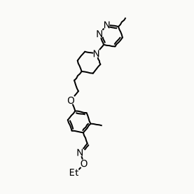 CCON=Cc1ccc(OCCC2CCN(c3ccc(C)nn3)CC2)cc1C